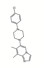 Cc1c(N2CCN(c3ccc(Cl)cc3)CC2)cn2ccnc2c1C